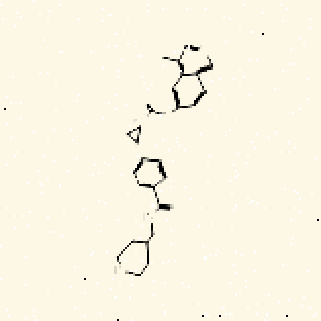 O=C(NCC1CCNCC1)c1ccc([C@@H]2C[C@H]2C(=O)Nc2ccc3cncc(Cl)c3c2)cc1